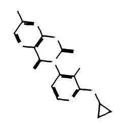 O=c1[nH]c2nc(Cl)cnc2c(=O)n1-c1ccnc(NC2CC2)c1Cl